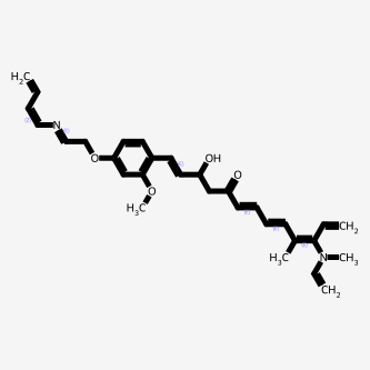 C=C/C=C\N=C\COc1ccc(/C=C/C(O)CC(=O)/C=C/C=C/C(C)=C(\C=C)N(C)C=C)c(OC)c1